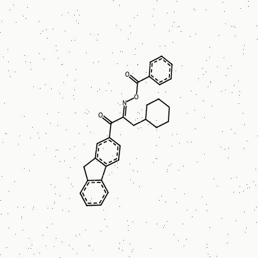 O=C(O/N=C(\CC1CCCCC1)C(=O)c1ccc2c(c1)Cc1ccccc1-2)c1ccccc1